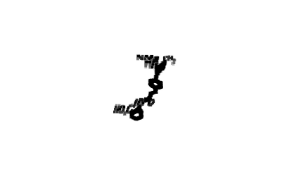 C/C=C(\NNC)c1ccc(CCC(=O)NC2=C(C(=O)O)CCCC2)cc1